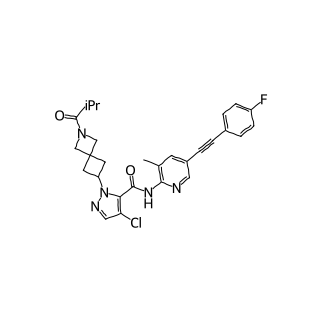 Cc1cc(C#Cc2ccc(F)cc2)cnc1NC(=O)c1c(Cl)cnn1C1CC2(C1)CN(C(=O)C(C)C)C2